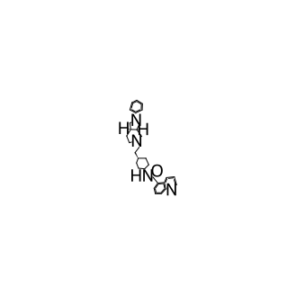 O=C(N[C@H]1CC[C@H](CCN2CC[C@H]3CN(c4ccccc4)C[C@@H]3C2)CC1)c1cccc2ncccc12